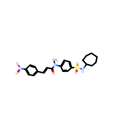 CN(C(=O)C=Cc1ccc([N+](=O)[O-])cc1)c1ccc(S(=O)(=O)NC2CCCCCC2)cc1